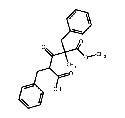 COC(=O)C(C)(Cc1ccccc1)C(=O)C(Cc1ccccc1)C(=O)O